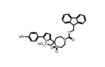 CCCc1ccc(-c2ccc(C3(CC(=O)O)CCN(C(=O)OCC4c5ccccc5-c5ccccc54)CCS3(=O)=O)s2)cc1